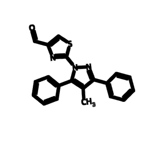 Cc1c(-c2ccccc2)nn(-c2nc(C=O)cs2)c1-c1ccccc1